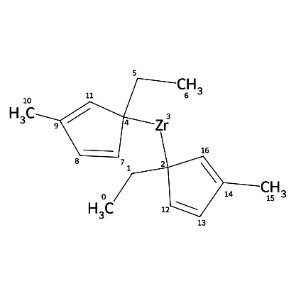 CC[C]1([Zr][C]2(CC)C=CC(C)=C2)C=CC(C)=C1